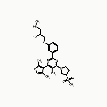 CNCC(O)COc1cccc(-c2nc(-c3c(C)noc3C)c(C)c(N3CC[C@@H](S(C)(=O)=O)C3)n2)c1